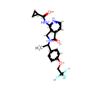 CC(c1ccc(OCC(F)(F)F)cc1)N1Cc2c(ccnc2NC(=O)C2CC2)C1=O